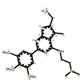 COc1cc(-c2nc(NCCN(C)C)c3c(C)c(CN)sc3n2)cc(OC)c1OC